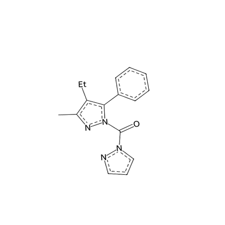 CCc1c(C)nn(C(=O)n2cccn2)c1-c1ccccc1